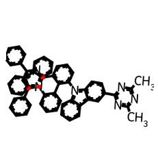 Cc1nc(C)nc(-c2ccc3c(c2)c2ccccc2n3-c2cccc(-c3nc(-c4ccccc4)cc(-c4ccccc4)n3)c2-c2ccccc2-n2c3ccccc3c3ccccc32)n1